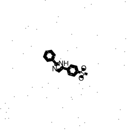 CS(=O)(=O)c1ccc(-c2cnc(-c3ccccc3)[nH]2)cc1